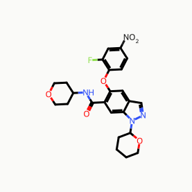 O=C(NC1CCOCC1)c1cc2c(cnn2C2CCCCO2)cc1Oc1ccc([N+](=O)[O-])cc1F